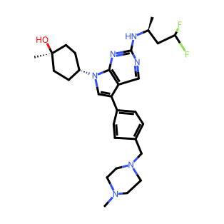 C[C@@H](CC(F)F)Nc1ncc2c(-c3ccc(CN4CCN(C)CC4)cc3)cn([C@H]3CC[C@](C)(O)CC3)c2n1